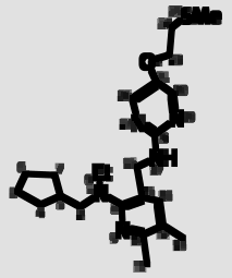 CCN(CC1CCCC1)c1nc(C)c(C)cc1CNc1ncc(OCCSC)cn1